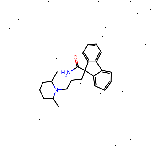 CC1CCCC(C)N1CCCC1(C(N)=O)c2ccccc2-c2ccccc21